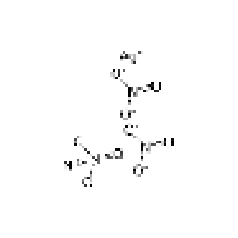 O=[N+]([O-])[O-].O=[N+]([O-])[O-].O=[N+]([O-])[O-].[Ag+].[Ni+2]